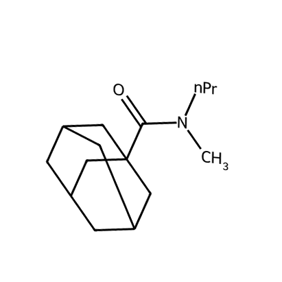 CCCN(C)C(=O)C12CC3CC(CC(C3)C1)C2